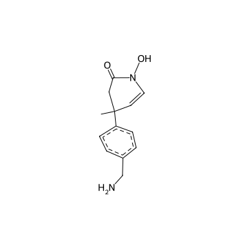 CC1(c2ccc(CN)cc2)C=CN(O)C(=O)C1